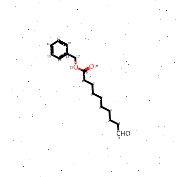 O=CCCCCCCCCC(=O)OCc1ccccc1